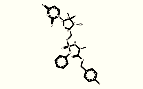 C[C@H](NP(=O)(OC[C@H]1O[C@@H](n2ccc(=O)[nH]c2=O)[C@](C)(F)[C@@H]1O)Oc1ccccc1)C(=O)OCc1ccc(F)cc1